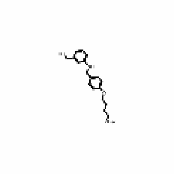 CCCCCCCCCCCCCCOc1ccc(CNc2cccc(CO)c2)cc1